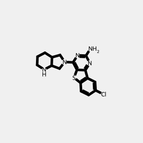 Nc1nc(N2CC3CCCNC3C2)c2sc3ccc(Cl)cc3c2n1